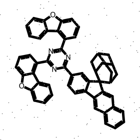 c1ccc2cc3c(cc2c1)-c1ccc(-c2nc(-c4cccc5oc6ccccc6c45)nc(-c4cccc5oc6ccccc6c45)n2)cc1C31C2CC3CC(C2)CC1C3